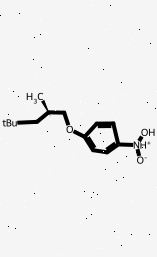 C[C@@H](COc1ccc([NH+]([O-])O)cc1)CC(C)(C)C